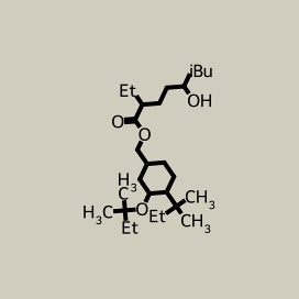 CCC(CCC(O)C(C)CC)C(=O)OCC1CCC(C(C)(C)CC)C(OC(C)(C)CC)C1